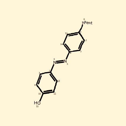 CCCCCc1ccc(/N=N/c2ccc(O)cc2)cc1